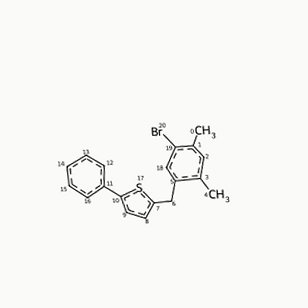 Cc1cc(C)c(Cc2ccc(-c3ccccc3)s2)cc1Br